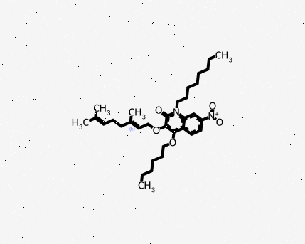 CCCCCCCCn1c(=O)c(OC/C=C(\C)CCC=C(C)C)c(OCCCCCC)c2ccc([N+](=O)[O-])cc21